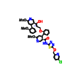 COc1cc(-c2ccccc2OC/C=C(\O)c2cnc(OC)cc2-c2ccccc2OC)c(C(=O)Nc2nnc(OCc3ccc(Cl)cn3)s2)cn1